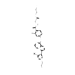 NCCNC(=O)CNC(=O)c1ccc(Nc2nccn3c(-c4cn(CCF)nc4C(F)(F)F)cnc23)cc1Cl